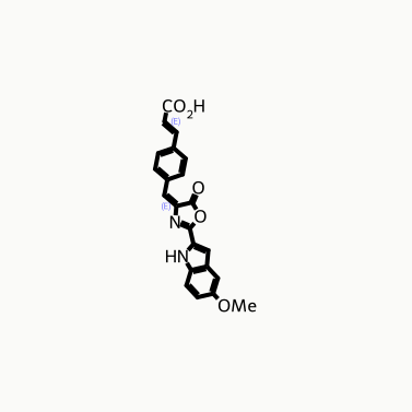 COc1ccc2[nH]c(C3=N/C(=C/c4ccc(/C=C/C(=O)O)cc4)C(=O)O3)cc2c1